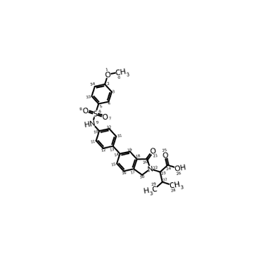 COc1ccc(S(=O)(=O)Nc2ccc(-c3ccc4c(c3)C(=O)N(C(C(=O)O)C(C)C)C4)cc2)cc1